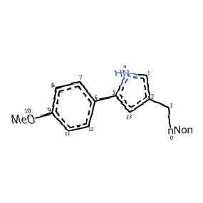 CCCCCCCCCCc1c[nH]c(-c2ccc(OC)cc2)c1